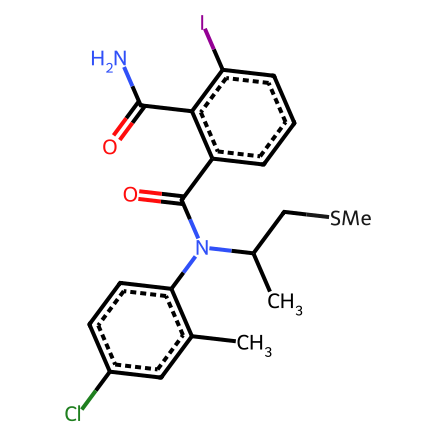 CSCC(C)N(C(=O)c1cccc(I)c1C(N)=O)c1ccc(Cl)cc1C